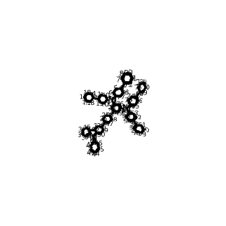 c1ccc(-c2ccc(N(c3ccc(-c4ccccc4)cc3)c3cc(-c4ccc(-c5ccc6c(c5)c5ccccc5n6-c5ccccc5)cc4)cc(N(c4ccc(-c5ccccc5)cc4)c4ccc(-c5ccccc5)cc4)c3)cc2)cc1